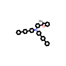 CC(C)(C)c1c(-c2cccc(N(c3ccc(-c4ccc(-c5ccccc5)cc4)cc3)c3ccc(-c4ccc(-c5ccccc5)cc4)cc3)c2)oc2ccccc12